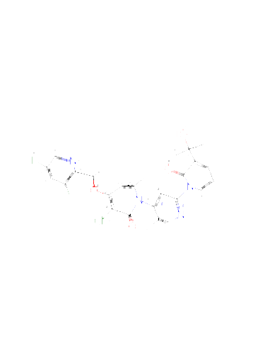 C=C(C)/C(=C\C(=N/C)n1cccc(C(C)(C)O)c1=O)n1c(C)cc(OCc2ncc(F)cc2F)c(Cl)c1=O